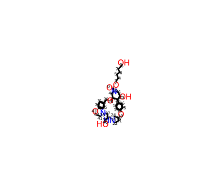 O=C(OCCCCCCO)N1CC(O)C(c2ccc(OC3CCNC3)cc2)C(OCc2ccc3c(c2)N(CCCO)CCO3)C1